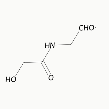 O=[C]CNC(=O)CO